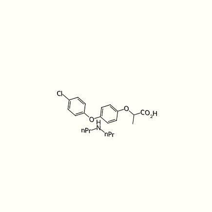 CC(Oc1ccc(Oc2ccc(Cl)cc2)cc1)C(=O)O.CCCNCCC